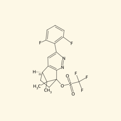 CC1(C)[C@H]2CCC1(OS(=O)(=O)C(F)(F)F)c1nnc(-c3c(F)cccc3F)cc12